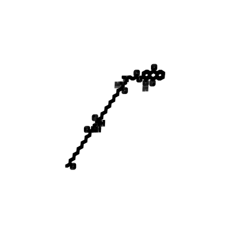 CC(=O)CCCCCCCCCCC(=O)NCNC(=O)CCCCCCCCCCC(=O)NCN(C)CCC(=O)Oc1ccc2c(c1O)C(=O)c1ccccc1C2=O